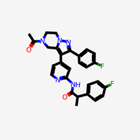 CC(=O)N1CCn2nc(-c3ccc(F)cc3)c(-c3ccnc(NC(=O)C(C)c4ccc(F)cc4)c3)c2C1